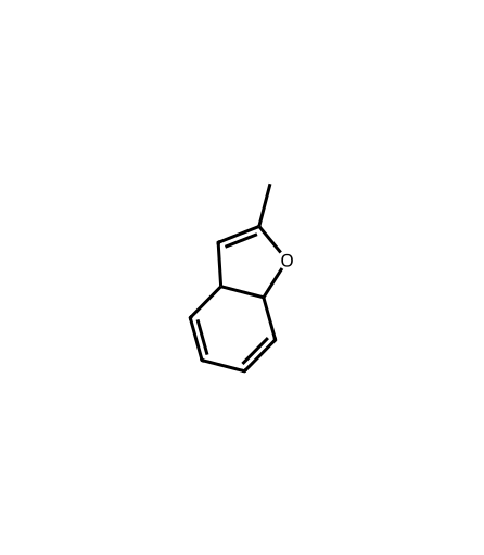 CC1=CC2C=CC=CC2O1